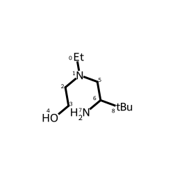 CCN(CCO)CC(N)C(C)(C)C